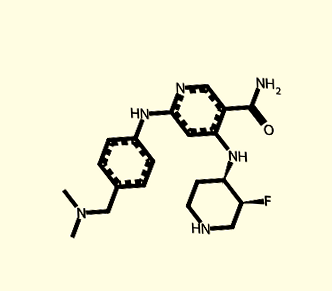 CN(C)Cc1ccc(Nc2cc(N[C@@H]3CCNC[C@@H]3F)c(C(N)=O)cn2)cc1